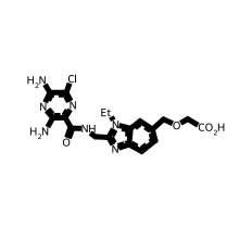 CCn1c(CNC(=O)c2nc(Cl)c(N)nc2N)nc2ccc(COCC(=O)O)cc21